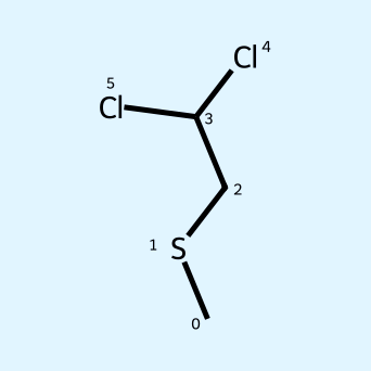 CSCC(Cl)Cl